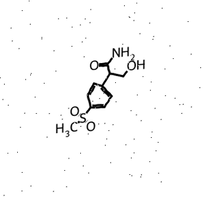 CS(=O)(=O)c1ccc(C(CO)C(N)=O)cc1